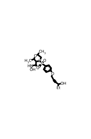 CCC(O)C#CCOc1ccc(S(=O)(=O)N2CC(C)OC(C)C2C(=O)NO)cc1